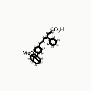 COc1cc(CCC=C(C=CC(=O)O)c2ccccc2)ccc1C12CC3CC(CC(C3)C1)C2